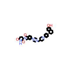 O=C1CC[C@H](N2Cc3cc(N4CCN(CC5CCN(c6ccc([C@H]7CCCc8cc(O)ccc87)cc6)CC5)CC4)ccc3C2=O)C(=O)N1